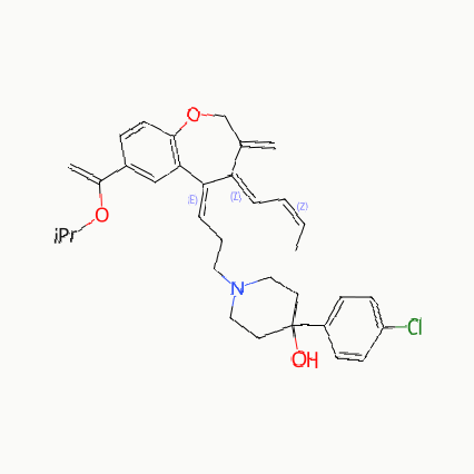 C=C1COc2ccc(C(=C)OC(C)C)cc2C(=C/CCN2CCC(O)(c3ccc(Cl)cc3)CC2)/C1=C/C=C\C